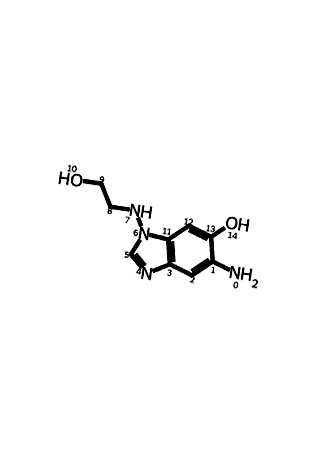 Nc1cc2ncn(NCCO)c2cc1O